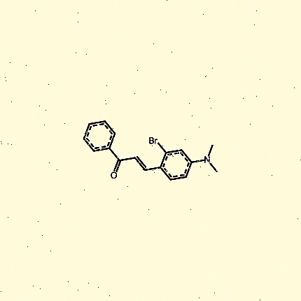 CN(C)c1ccc(/C=C/C(=O)c2ccccc2)c(Br)c1